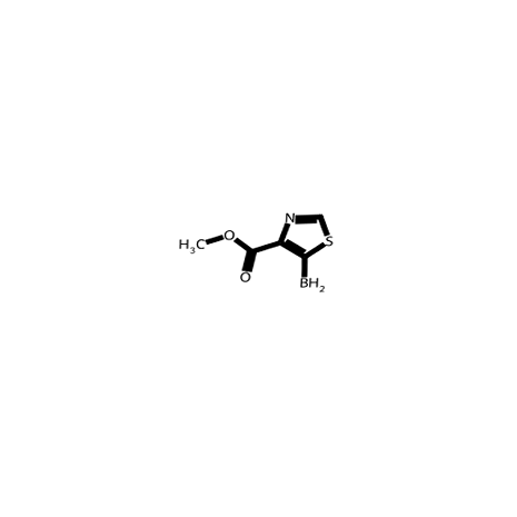 Bc1scnc1C(=O)OC